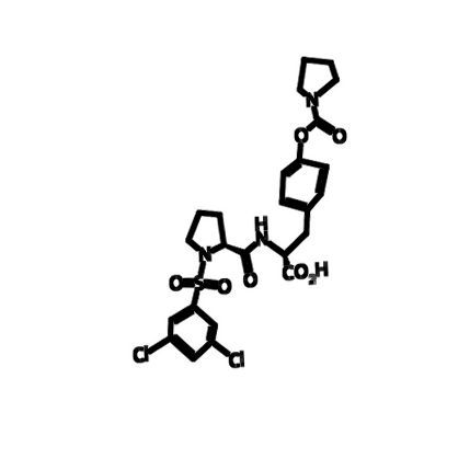 O=C(O)[C@H](Cc1ccc(OC(=O)N2CCCC2)cc1)NC(=O)[C@@H]1CCCN1S(=O)(=O)c1cc(Cl)cc(Cl)c1